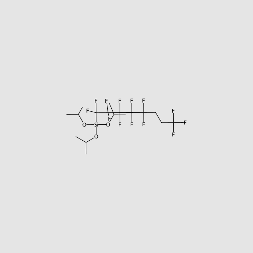 CC(C)O[Si](OC(C)C)(OC(C)C)C(F)(F)C(F)(F)C(F)(F)C(F)(F)C(F)(F)CCC(F)(F)F